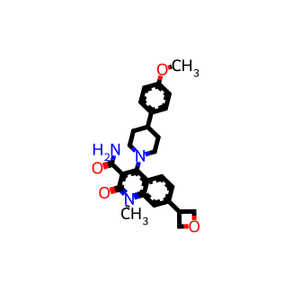 COc1ccc(C2CCN(c3c(C(N)=O)c(=O)n(C)c4cc(C5COC5)ccc34)CC2)cc1